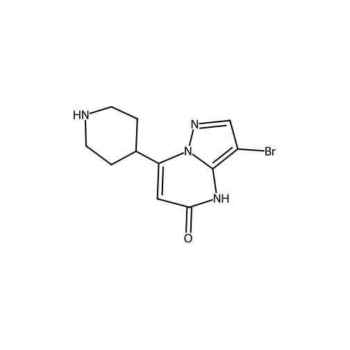 O=c1cc(C2CCNCC2)n2ncc(Br)c2[nH]1